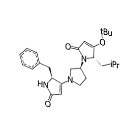 CC(C)C[C@H]1C(OC(C)(C)C)=CC(=O)N1[C@H]1CCN(C2=CC(=O)N[C@H]2Cc2ccccc2)C1